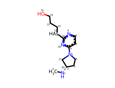 CN[C@H]1CCN(c2ccnc([AsH]CCCO)n2)C1